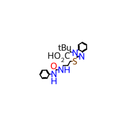 CC(C)(C)C(C(=O)O)n1c(SCCCNC(=O)Nc2ccccc2)nc2ccccc21